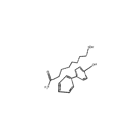 CCCCCCCCCCCCCCCCCC(N)=O.Oc1ccc(-c2ccccc2)cc1